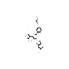 CNC[C@@H](O)COc1ccc(F)c(-c2nc(-c3c(C)noc3C)c(C)c(N3Cc4cc(OC)cnc4C3)n2)c1